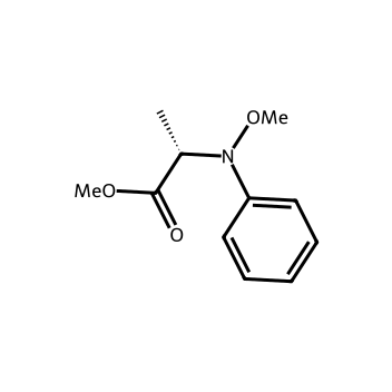 COC(=O)[C@H](C)N(OC)c1ccccc1